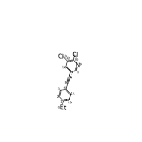 CCc1ccc(C#Cc2cnc(Cl)c(Cl)c2)cc1